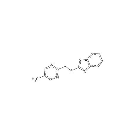 Cc1cnc(CSc2nc3ccccc3s2)nc1